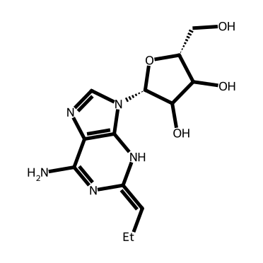 CCC=C1N=C(N)c2ncn([C@@H]3O[C@H](CO)C(O)C3O)c2N1